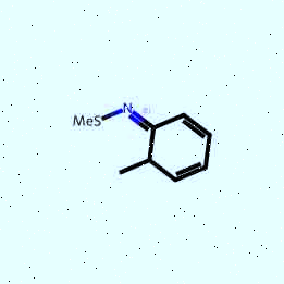 CS/N=C1/C=CC=CC1C